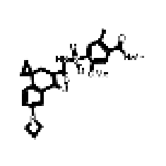 CNC(=O)c1cc(OC)c(S(=O)(=O)Nc2noc3c2CC2(CC2)c2ccc(N4CCC4)cc2-3)cc1C